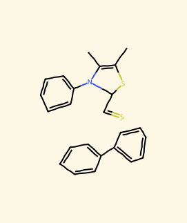 CC1=C(C)N(c2ccccc2)C(C=S)S1.c1ccc(-c2ccccc2)cc1